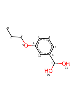 CCCOc1cccc(C(O)O)c1